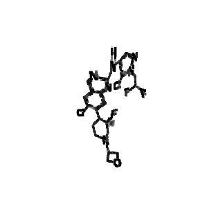 FC(F)Cn1ncc(Nc2ncc3cc(Cl)c(C4CCN(C5COC5)C[C@@H]4F)cc3n2)c1Cl